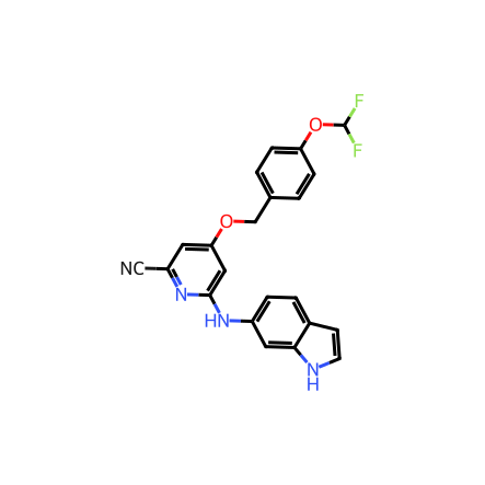 N#Cc1cc(OCc2ccc(OC(F)F)cc2)cc(Nc2ccc3cc[nH]c3c2)n1